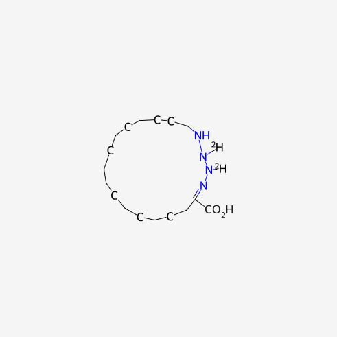 [2H]N1N=C(C(=O)O)CCCCCCCCCCCCCCCNN1[2H]